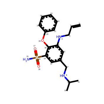 C=CCNc1cc(CNC(C)C)cc(S(N)(=O)=O)c1Oc1ccccc1